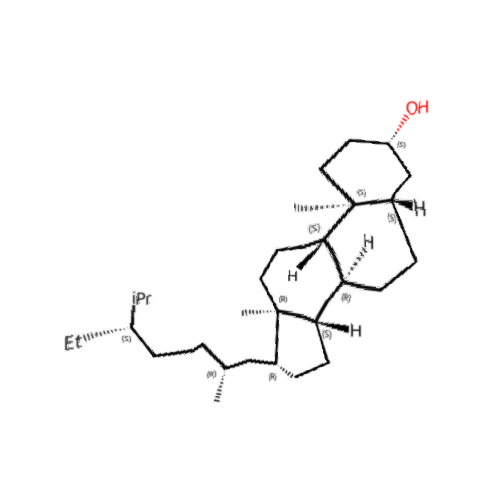 CC[C@@H](CC[C@@H](C)[C@H]1CC[C@H]2[C@@H]3CC[C@H]4C[C@@H](O)CC[C@]4(C)[C@H]3CC[C@]12C)C(C)C